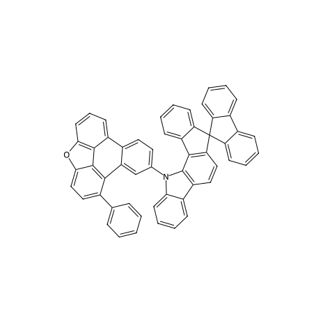 c1ccc(-c2ccc3oc4cccc5c6ccc(-n7c8ccccc8c8ccc9c(c87)-c7ccccc7C97c8ccccc8-c8ccccc87)cc6c2c3c45)cc1